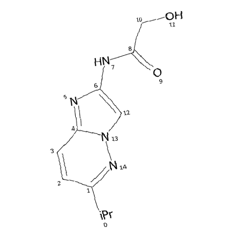 CC(C)c1ccc2nc(NC(=O)CO)cn2n1